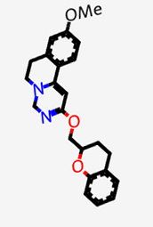 COc1ccc2c(c1)CCN1CN=C(OCC3CCc4ccccc4O3)C=C21